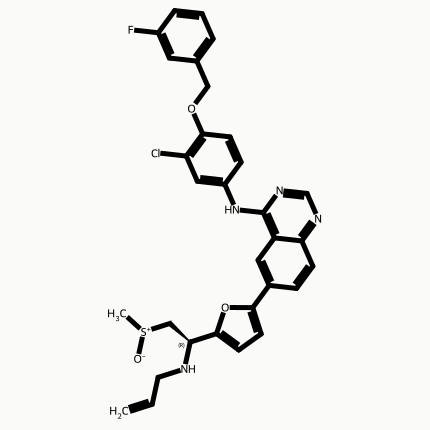 C=CCN[C@@H](C[S+](C)[O-])c1ccc(-c2ccc3ncnc(Nc4ccc(OCc5cccc(F)c5)c(Cl)c4)c3c2)o1